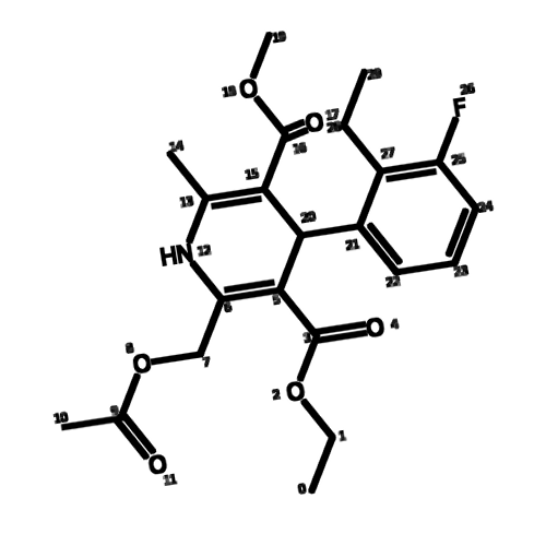 CCOC(=O)C1=C(COC(C)=O)NC(C)=C(C(=O)OC)C1c1cccc(F)c1CC